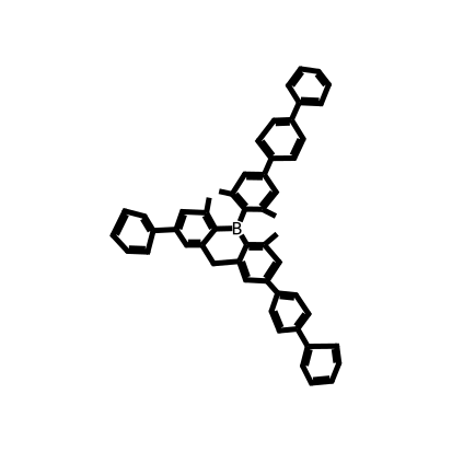 Cc1cc(-c2ccc(-c3ccccc3)cc2)cc(C)c1B1c2c(C)cc(-c3ccccc3)cc2Cc2cc(-c3ccc(-c4ccccc4)cc3)cc(C)c21